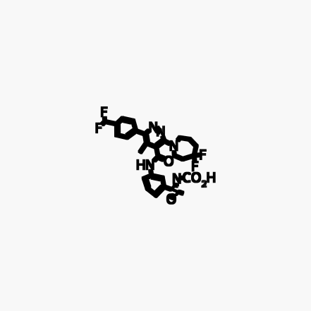 Cc1c(-c2ccc(C(F)F)cc2)nnc(N2CCCC(F)(F)CC2)c1C(=O)Nc1cccc(S(C)(=O)=NC(=O)O)c1